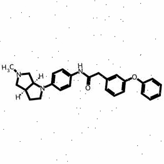 CN1C[C@@H]2CCN(c3ccc(NC(=O)Cc4cccc(Oc5ccccc5)c4)cc3)[C@@H]2C1